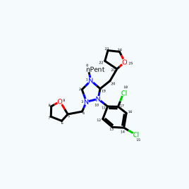 CCCCCN1CN(CC2CCCO2)N(c2ccc(Cl)cc2Cl)C1CC1CCCO1